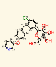 OC[C@H]1O[C@@H](c2ccc(Cl)c(Cc3ccc(Oc4cccnc4)cc3)c2)C(O)[C@@H](O)[C@@H]1O